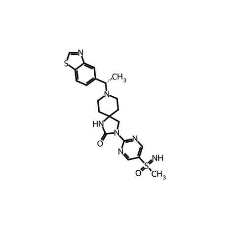 C[C@@H](c1ccc2scnc2c1)N1CCC2(CC1)CN(c1ncc(S(C)(=N)=O)cn1)C(=O)N2